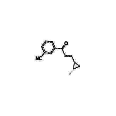 C[C@H]1CC1/C=C/C(=O)c1cccc(C#N)c1